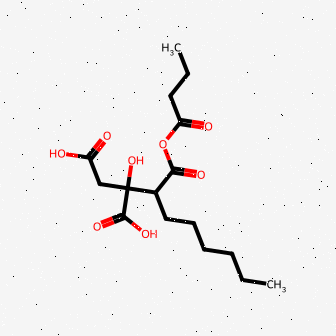 CCCCCCC(C(=O)OC(=O)CCC)C(O)(CC(=O)O)C(=O)O